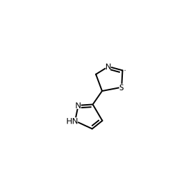 [C]1=NCC(c2cc[nH]n2)S1